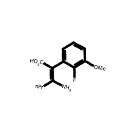 CCCC(N)=C(C(=O)O)c1cccc(OC)c1F